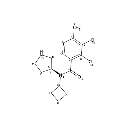 Cc1ccc(C(=O)N(C2CCC2)[C@H]2CCNC2)c(Cl)c1Cl